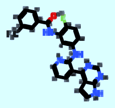 O=C(Nc1cc(Nc2ncccc2-c2ncnc3[nH]ccc23)ccc1F)c1cccc(C(F)(F)F)c1